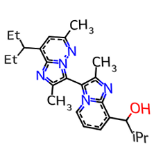 CCC(CC)c1cc(C)nn2c(-c3c(C)nc4c(C(O)C(C)C)cccn34)c(C)nc12